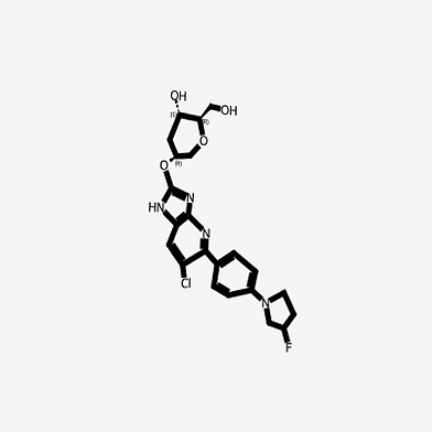 OC[C@H]1OC[C@H](Oc2nc3nc(-c4ccc(N5CCC(F)C5)cc4)c(Cl)cc3[nH]2)C[C@@H]1O